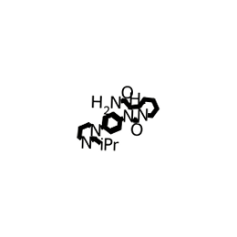 CC(C)C1=NCCCN1c1ccc(N2C(=O)N3CCC[CH][C@@H]3C2C(N)=O)cc1